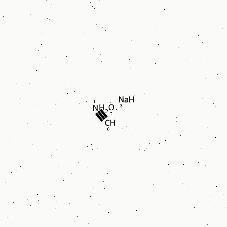 C#N.O.[NaH]